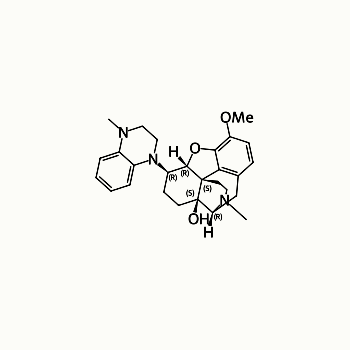 COc1ccc2c3c1O[C@H]1[C@H](N4CCN(C)c5ccccc54)CC[C@@]4(O)[C@@H](C2)N(C)CC[C@]314